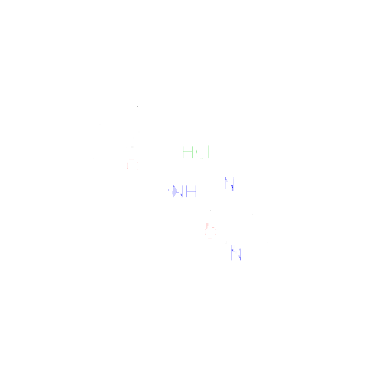 Cc1ccccc1OCCNCCOc1ncccc1C#N.Cl